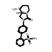 N[C@@H]1CCCN2C(=O)N(c3ccc(-c4ccccc4S(N)(=O)=O)cc3)C[C@H]12